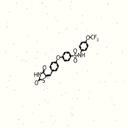 O=C1NC(=O)/C(=C\c2ccc(Oc3ccc(S(=O)(=O)Nc4ccc(OC(F)(F)F)cc4)cc3)cc2)S1